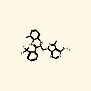 Cc1cccc2nc(Cn3nc(I)c4c(N)ncnc43)c(-c3ccccc3C(F)(F)F)nc12